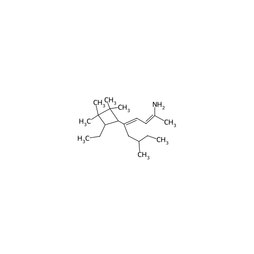 CCC(C)C/C(=C\C=C(\C)N)C1C(CC)C(C)(C)C1(C)C